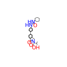 CC(C)[C@@H](C(=O)O)N1Cc2cc(-c3ccc(NC(=O)NC4CCCCC4)cc3)ccc2C1=O